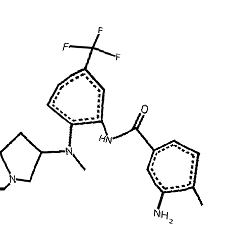 Cc1ccc(C(=O)Nc2cc(C(F)(F)F)ccc2N(C)C2CCN(C)C2)cc1N